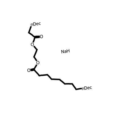 CCCCCCCCCCCCCCCCCC(=O)OCCOC(=O)CCCCCCCCCCC.[NaH]